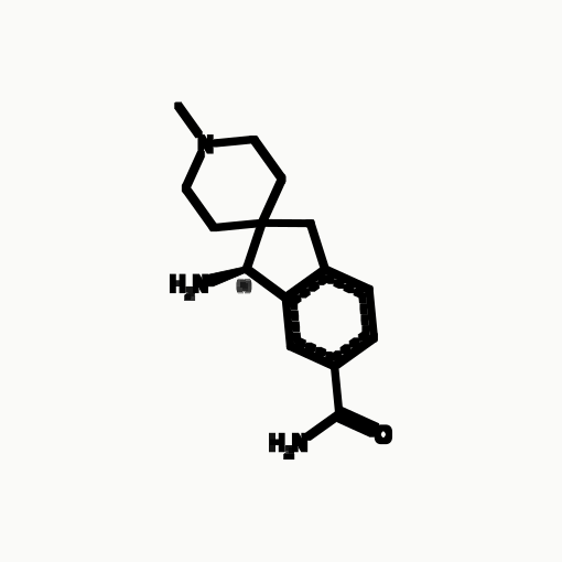 CN1CCC2(CC1)Cc1ccc(C(N)=O)cc1[C@H]2N